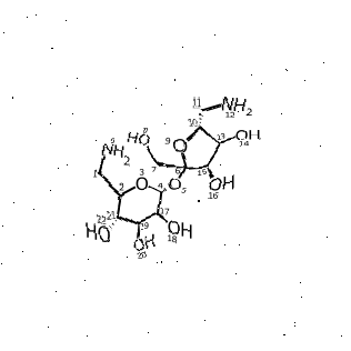 NCC1O[C@H](O[C@]2(CO)O[C@H](CN)C(O)[C@H]2O)C(O)[C@@H](O)[C@@H]1O